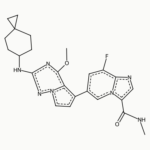 CNC(=O)c1cnc2c(F)cc(-c3ccn4nc(NC5CCC6(CC5)CC6)nc(OC)c34)cn12